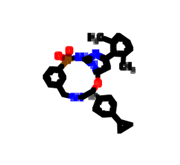 Cc1cccc(C)c1-c1cc2nc(n1)NS(=O)(=O)c1cccc(c1)CNC[C@@H](c1ccc(C3CC3)cc1)O2